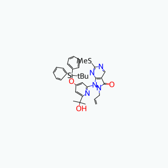 C=CCn1c(=O)c2cnc(SC)nc2n1-c1cc(O[Si](c2ccccc2)(c2ccccc2)C(C)(C)C)cc(C(C)(C)O)n1